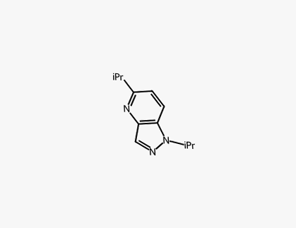 CC(C)c1ccc2c(cnn2C(C)C)n1